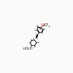 CCCCCCCC[C@H]1CC[C@H](C#Cc2ccc(OC(F)(F)F)cc2)CC1